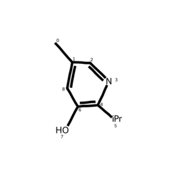 Cc1cnc(C(C)C)c(O)c1